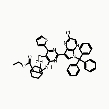 CCOC(=O)[C@@H]1C2CCC(CC2)[C@H]1Nc1nc(-c2cn(C(c3ccccc3)(c3ccccc3)c3ccccc3)c3ncc(Cl)nc23)nc(-c2cccs2)c1F